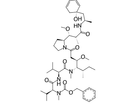 CC[C@H](C)[C@@H]([C@@H](CC(=O)N1CCC[C@H]1[C@H](OC)[C@@H](C)C(=O)N[C@H](C)C[C@]1(O)C=CC=CC1)OC)N(C)C(=O)[C@@H](NC(=O)[C@H](C(C)C)N(C)C(=O)OCc1ccccc1)C(C)C